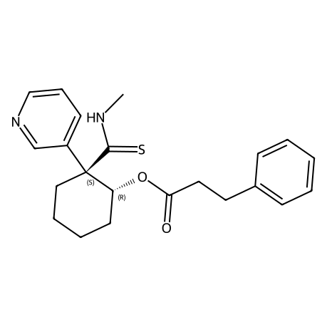 CNC(=S)[C@]1(c2cccnc2)CCCC[C@H]1OC(=O)CCc1ccccc1